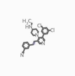 CCNC1CCN(c2c(/C=C/c3cccc(C#N)c3)cncc2-c2cc(Cl)cc(Cl)c2)CC1